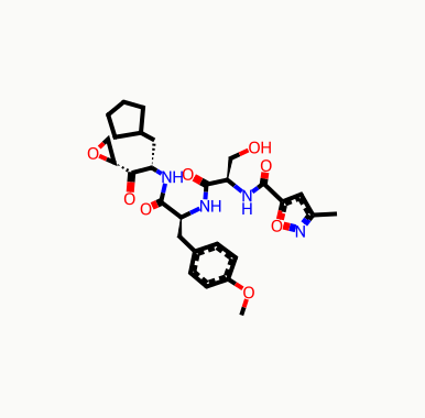 COc1ccc(C[C@H](NC(=O)[C@@H](CO)NC(=O)c2cc(C)no2)C(=O)N[C@@H](CC2CCCC2)C(=O)[C@H]2CO2)cc1